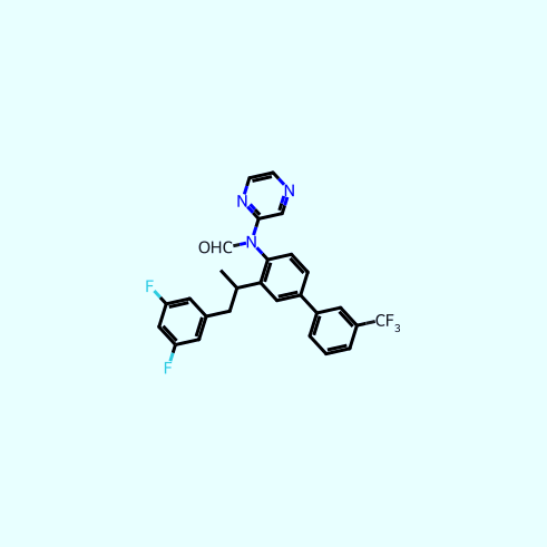 CC(Cc1cc(F)cc(F)c1)c1cc(-c2cccc(C(F)(F)F)c2)ccc1N(C=O)c1cnccn1